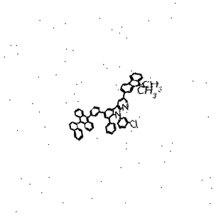 CC1(C)c2ccccc2-c2ccc(-c3cnc4c(c3)c3cc(-c5cccc(-c6c7ccccc7c(-c7cccc8ccccc78)c7ccccc67)c5)cc(-c5ccccc5)c3n4-c3cccc(Cl)c3)cc21